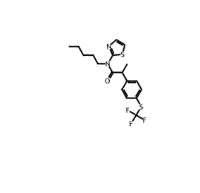 CCCCCN(C(=O)C(C)c1ccc(SC(F)(F)F)cc1)c1nccs1